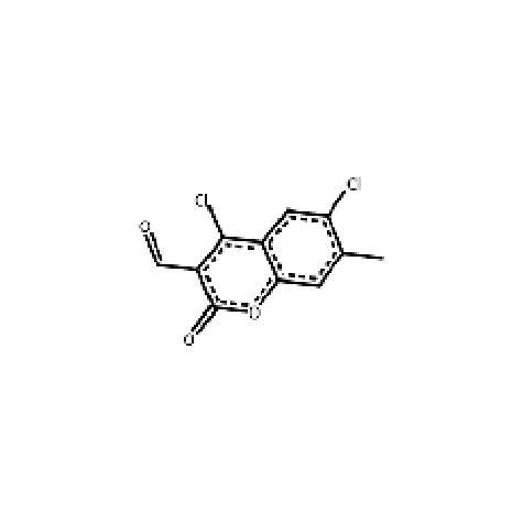 Cc1cc2oc(=O)c(C=O)c(Cl)c2cc1Cl